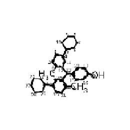 Cc1ccc(C2CCCCC2)cc1C(c1ccc(O)cc1)c1cc(C2CCCCC2)ccc1C